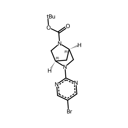 CC(C)(C)OC(=O)N1C[C@H]2C[C@@H]1CN2c1ncc(Br)cn1